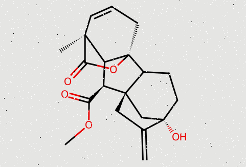 C=C1C[C@]23C[C@@]1(O)CCC2[C@@]12CC=C[C@](C)(C(=O)O1)C2[C@@H]3C(=O)OC